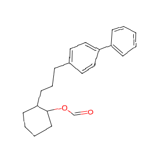 O=COC1CCCCC1CCCc1ccc(-c2ccccc2)cc1